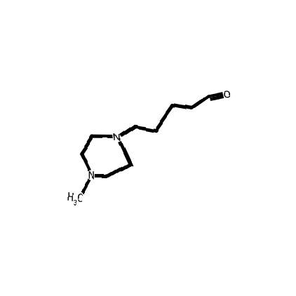 CN1CCN(CCCCC=O)CC1